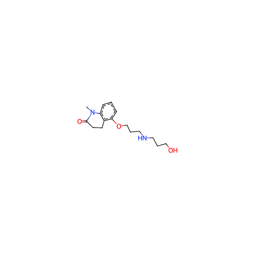 CN1C(=O)CCc2c(OCCCNCCCO)cccc21